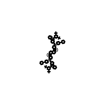 CC(C)(C)c1cc(-n2c3ccccc3c3ccc(N(c4ccc(-c5ccccc5)cc4)c4ccc5c(c4)oc4ccc6c(ccc7oc8cc(N(c9ccc(-c%10ccccc%10)cc9)c9ccc%10c%11ccccc%11n(-c%11cc(C(C)(C)C)cc(C(C)(C)C)c%11)c%10c9)ccc8c76)c45)cc32)cc(C(C)(C)C)c1